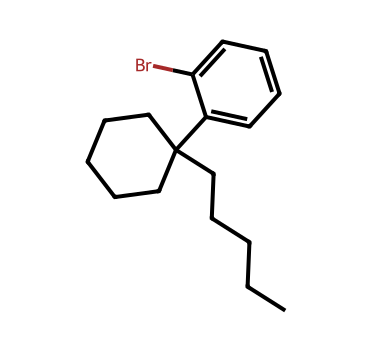 CCCCCC1(c2ccccc2Br)CCCCC1